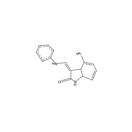 CCCC1=CC=CC2NC(=O)/C(=C\Nc3ccccc3)C12